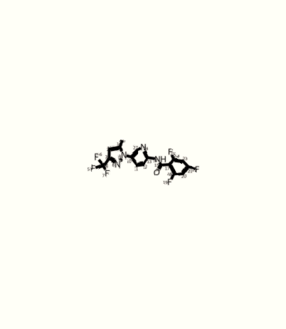 Cc1cc(C(F)(F)F)nn1-c1ccc(NC(=O)c2c(F)cc(F)cc2F)nc1